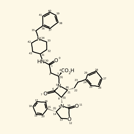 O=C(C[C@@H](C(=O)O)N1C(=O)[C@@H](N2C(=O)OC[C@@H]2c2ccccc2)[C@H]1CCc1ccccc1)NC1CCN(Cc2ccccc2)CC1